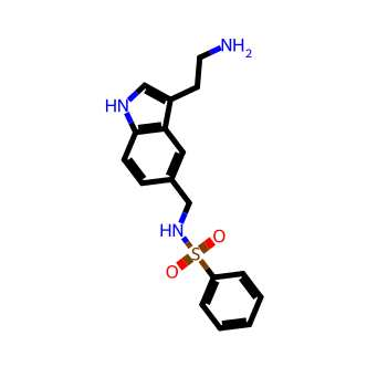 NCCc1c[nH]c2ccc(CNS(=O)(=O)c3ccccc3)cc12